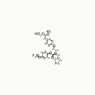 CCOC(Cc1ccc(OCCN(CC2CCCC2)C(=O)Oc2ccc(OC(F)(F)F)cc2)cc1)C(=O)O